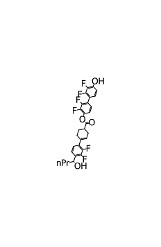 CCCC(O)c1ccc(C2=CCC(C(=O)Oc3ccc(-c4ccc(O)c(F)c4F)c(F)c3F)CC2)c(F)c1F